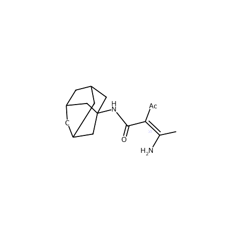 CC(=O)/C(C(=O)NC12CC3CC(CC(C3)C1)C2)=C(\C)N